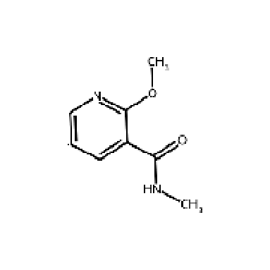 CNC(=O)c1c[c]cnc1OC